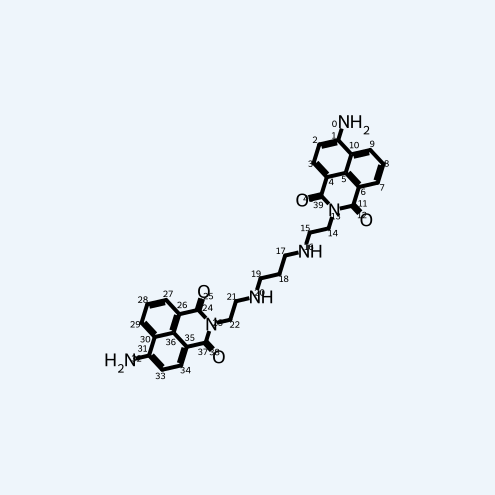 Nc1ccc2c3c(cccc13)C(=O)N(CCNCCCNCCN1C(=O)c3cccc4c(N)ccc(c34)C1=O)C2=O